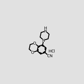 Cl.N#Cc1cc2c(c(N3CCNCC3)c1)OCCO2